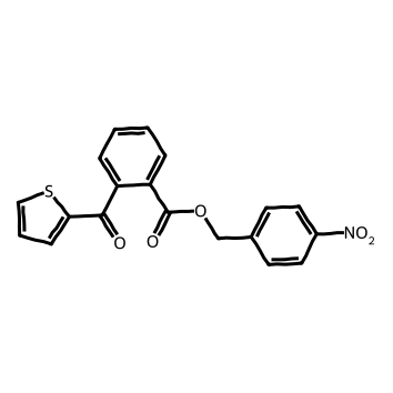 O=C(OCc1ccc([N+](=O)[O-])cc1)c1ccccc1C(=O)c1cccs1